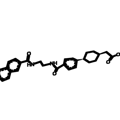 O=C(O)C[C@H]1CC[C@H](c2ccc(C(=O)NCCNC(=O)c3ccc4ccccc4c3)cc2)CC1